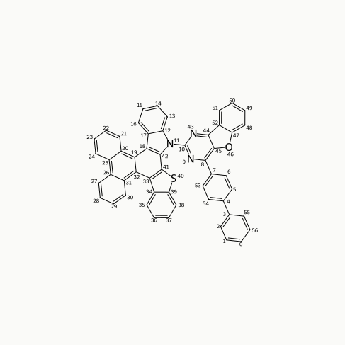 c1ccc(-c2ccc(-c3nc(-n4c5ccccc5c5c6c7ccccc7c7ccccc7c6c6c7ccccc7sc6c54)nc4c3oc3ccccc34)cc2)cc1